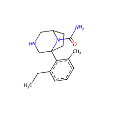 CCc1cccc(C)c1C12CCC(CNC1)N2C(N)=O